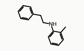 Cc1ccccc1NCCc1ccccc1